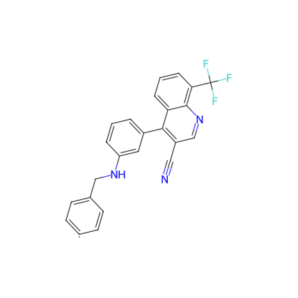 N#Cc1cnc2c(C(F)(F)F)cccc2c1-c1cccc(NCc2cc[c]cc2)c1